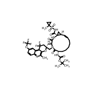 Cc1nc2ccc(OC(F)(F)F)cc2c2c1O[C@@]1(C[C@H]3C(=O)N[C@]4(C(=O)NS(=O)(=O)C5(C)CC5)C[C@H]4/C=C\CCCCC[C@H](NC(=O)OC(C)(C)C)C(=O)N3C1)CC2(F)F